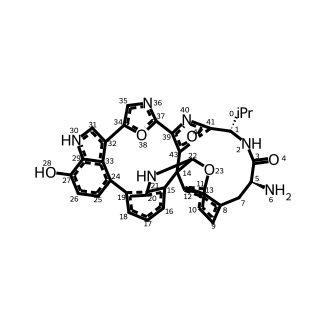 CC(C)[C@@H]1NC(=O)[C@@H](N)Cc2ccc3c(c2)C24c5cccc(c5NC2O3)-c2ccc(O)c3[nH]cc(c23)-c2cnc(o2)-c2nc1oc24